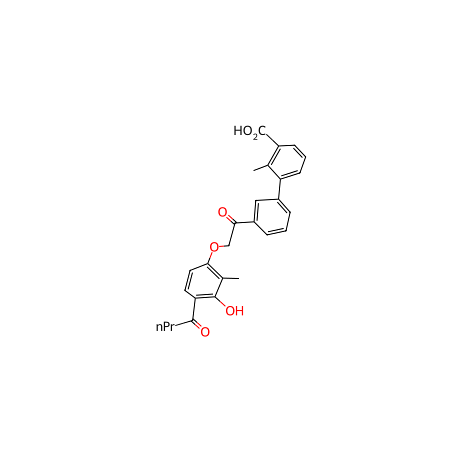 CCCC(=O)c1ccc(OCC(=O)c2cccc(-c3cccc(C(=O)O)c3C)c2)c(C)c1O